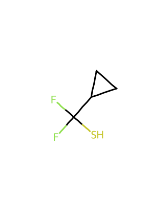 FC(F)(S)C1CC1